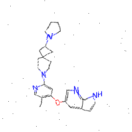 Cc1cnc(N2CCC3(CC2)CC(N2CCCC2)C3)cc1Oc1cnc2[nH]ccc2c1